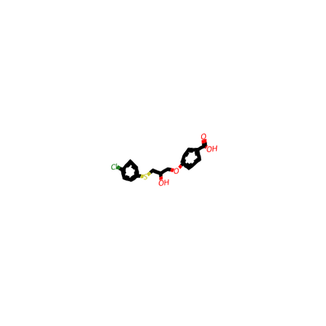 O=C(O)c1ccc(OCC(O)CSc2ccc(Cl)cc2)cc1